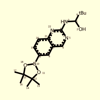 CC(C)(C)C(O)Nc1ncc2cc(B3OC(C)(C)C(C)(C)O3)ccc2n1